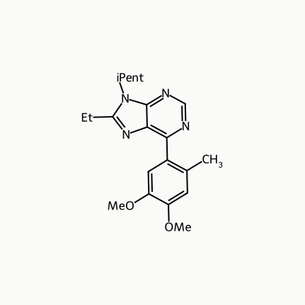 CCCC(C)n1c(CC)nc2c(-c3cc(OC)c(OC)cc3C)ncnc21